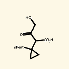 CCCCCC1(C(C(=O)O)C(=O)CO)CC1